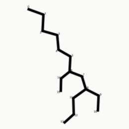 CCCCCCC([CH]C(CC)CCC)CC